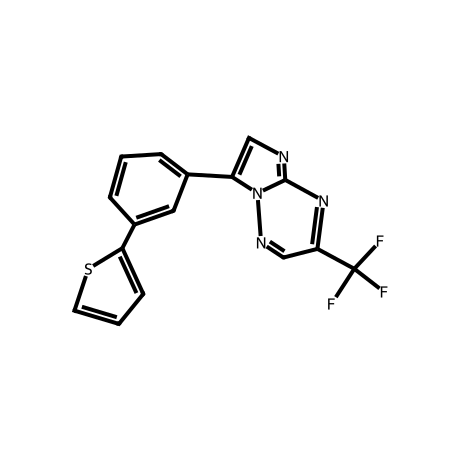 FC(F)(F)c1cnn2c(-c3cccc(-c4cccs4)c3)cnc2n1